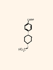 COc1ccc([C@H]2CC[C@@H](CC(=O)O)CC2)cc1